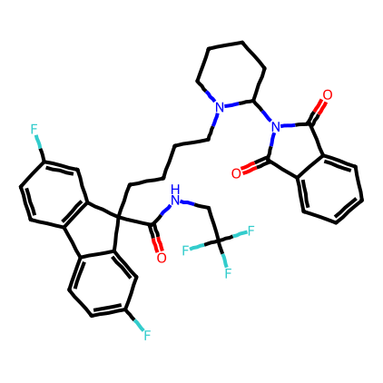 O=C1c2ccccc2C(=O)N1C1CCCCN1CCCCC1(C(=O)NCC(F)(F)F)c2cc(F)ccc2-c2ccc(F)cc21